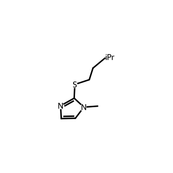 CC(C)CCSc1nccn1C